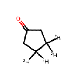 [2H]C1([2H])CC(=O)CC1([2H])[2H]